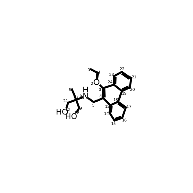 CCOc1c(CNC(C)(CO)CO)c2ccccc2c2ccccc12